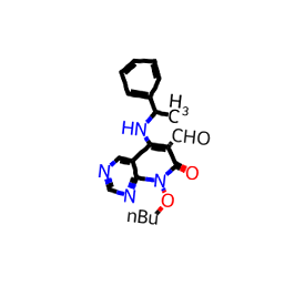 CCCCOn1c(=O)c(C=O)c(NC(C)c2ccccc2)c2cncnc21